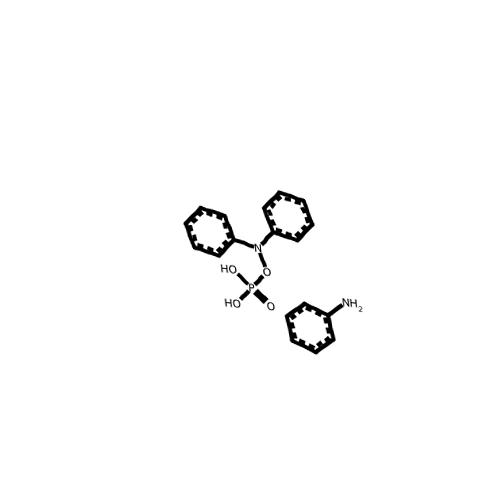 Nc1ccccc1.O=P(O)(O)ON(c1ccccc1)c1ccccc1